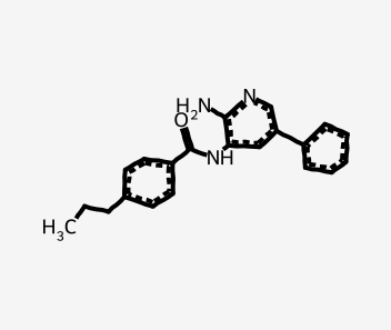 CCCc1ccc(C(=O)Nc2cc(-c3ccccc3)cnc2N)cc1